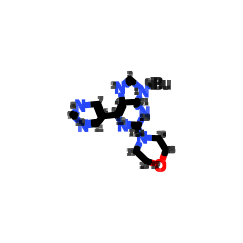 CCC(C)n1cnc2c(-c3cncnc3)nc(N3CCOCC3)nc21